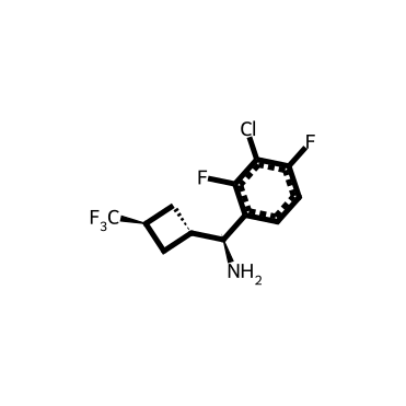 N[C@H](c1ccc(F)c(Cl)c1F)[C@H]1C[C@H](C(F)(F)F)C1